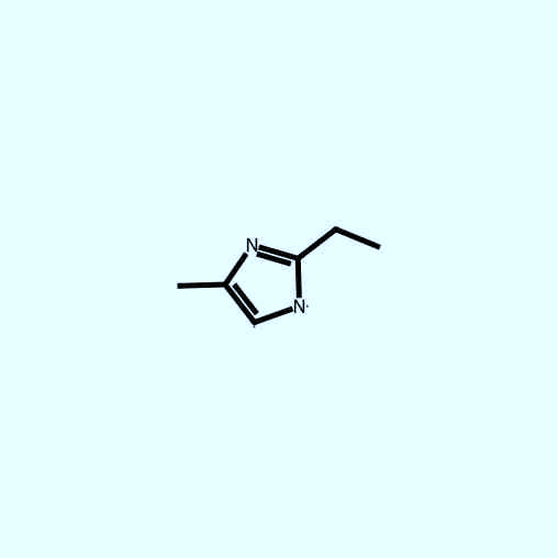 CCC1=NC(C)=[C][N]1